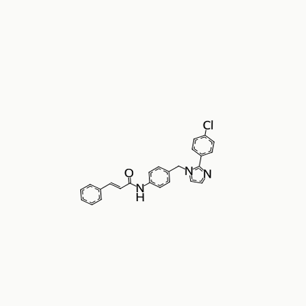 O=C(C=Cc1ccccc1)Nc1ccc(Cn2ccnc2-c2ccc(Cl)cc2)cc1